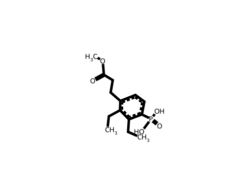 CCc1c(CCC(=O)OC)ccc(P(=O)(O)O)c1CC